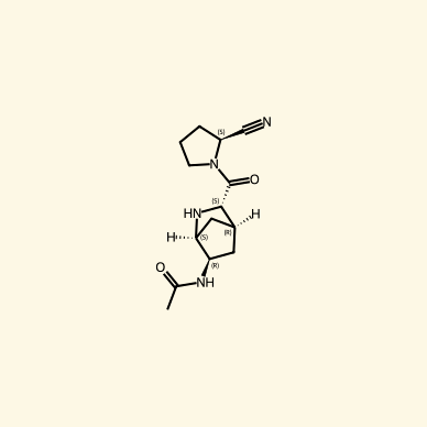 CC(=O)N[C@@H]1C[C@H]2C[C@@H]1N[C@@H]2C(=O)N1CCC[C@H]1C#N